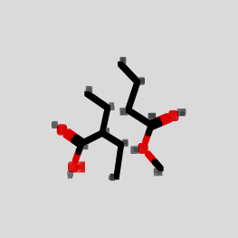 CCC(CC)C(=O)O.CCCC(=O)OC